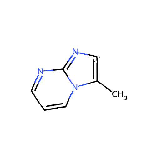 Cc1[c]nc2ncccn12